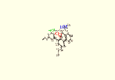 C=CCc1ccc(OCC)c(-c2cc(CC=C)ccc2OC(CCNC)c2ccccc2)c1.Cl